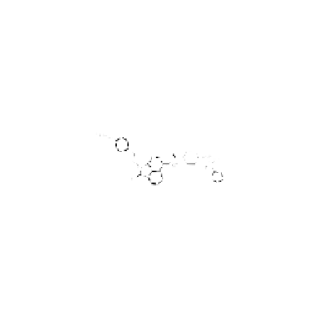 COc1ccc(CCN2C(=O)c3cccc4c(NC(=O)[C@H]5CC[C@H](NS(=O)(=O)c6cccs6)CC5)ccc2c34)cc1